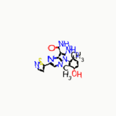 Cc1ccc(O)c(C)c1-n1c(N)c(C(N)=O)c2nc(-c3ccns3)cnc21